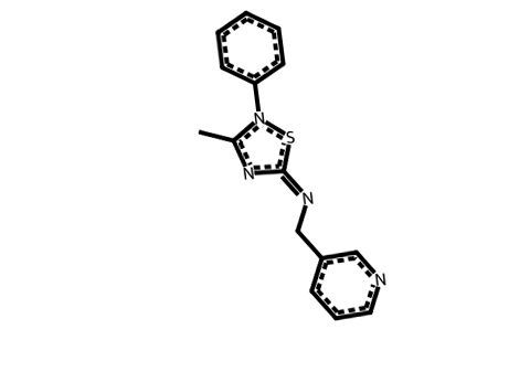 Cc1nc(=NCc2cccnc2)sn1-c1ccccc1